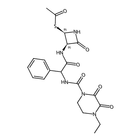 CCN1CCN(C(=O)NC(C(=O)N[C@@H]2C(=O)N[C@@H]2SC(C)=O)c2ccccc2)C(=O)C1=O